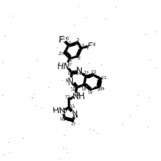 Fc1cc(F)cc(Nc2nc(NCc3ncc[nH]3)c3ccccc3n2)c1